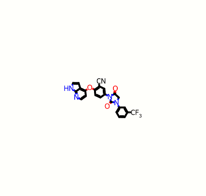 N#Cc1cc(N2C(=O)CN(c3cccc(C(F)(F)F)c3)C2=O)ccc1Oc1ccnc2[nH]ccc12